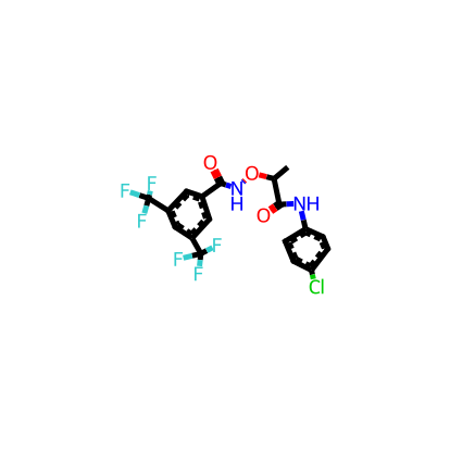 CC(ONC(=O)c1cc(C(F)(F)F)cc(C(F)(F)F)c1)C(=O)Nc1ccc(Cl)cc1